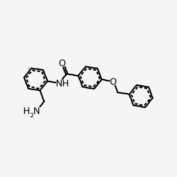 NCc1cc[c]cc1NC(=O)c1ccc(OCc2ccccc2)cc1